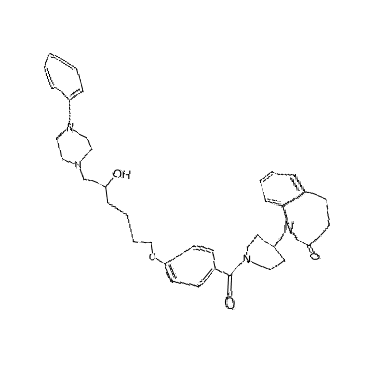 O=C(c1ccc(OCCCCC(O)CN2CCN(c3ccccc3)CC2)cc1)N1CCC(N2C(=O)CCc3ccccc32)CC1